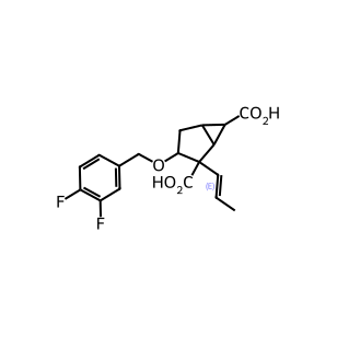 C/C=C/C1(C(=O)O)C(OCc2ccc(F)c(F)c2)CC2C(C(=O)O)C21